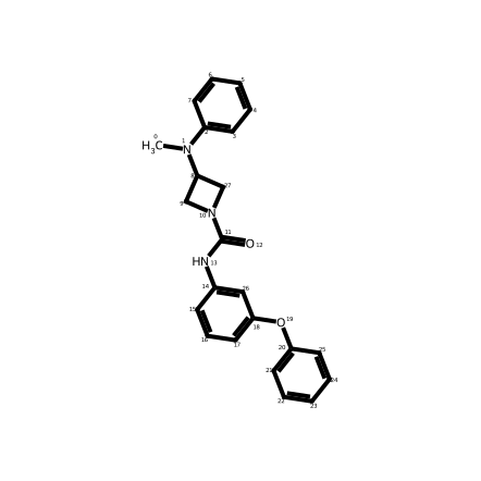 CN(c1ccccc1)C1CN(C(=O)Nc2cccc(Oc3ccccc3)c2)C1